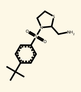 CC(C)(C)c1ccc(S(=O)(=O)N2CCSC2CN)cc1